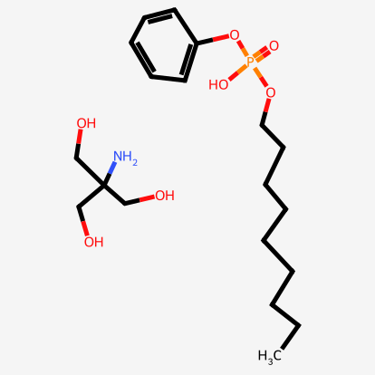 CCCCCCCCCOP(=O)(O)Oc1ccccc1.NC(CO)(CO)CO